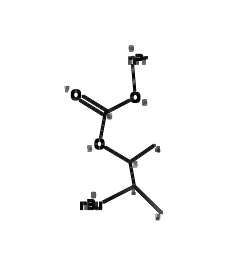 CCCCC(C)C(C)OC(=O)OCCC